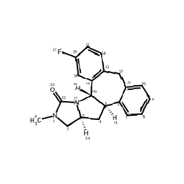 CN1C[C@@H]2C[C@@H]3c4ccccc4Cc4ccc(F)cc4[C@H]3N2C1=O